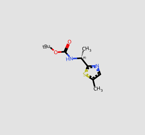 Cc1cnc([C@@H](C)NC(=O)OC(C)(C)C)s1